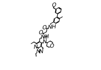 CCc1nc2c(cnn2CC)c(NC2CCOCC2)c1CNC(=O)CC(=O)NCc1ccc(C)c(-c2cccc(C=O)c2)c1